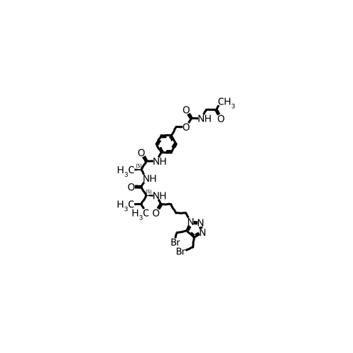 CC(=O)CNC(=O)OCc1ccc(NC(=O)[C@H](C)NC(=O)[C@@H](NC(=O)CCCn2nnc(CBr)c2CBr)C(C)C)cc1